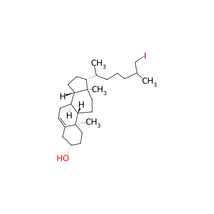 CC(CI)CCCC(C)[C@H]1CC[C@H]2[C@@H]3CC=C4C[C@@H](O)CC[C@]4(C)[C@H]3CC[C@]12C